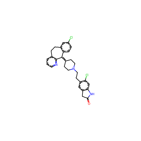 O=C1Cc2cc(CCN3CCC(=C4c5ccc(Cl)cc5CCc5cccnc54)CC3)c(Cl)cc2N1